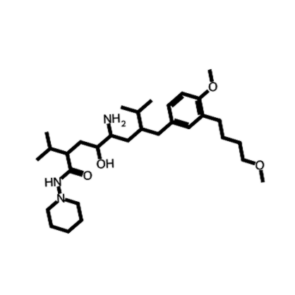 COCCCCc1cc(CC(CC(N)C(O)CC(C(=O)NN2CCCCC2)C(C)C)C(C)C)ccc1OC